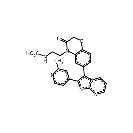 Cc1cc(-c2nc3ncccn3c2-c2ccc3c(c2)N(CCNC(=O)O)C(=O)CO3)ccn1